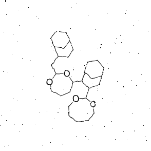 C1CCOC(C2CC3CCCC(C3)C2C2CCCOC(CC3CCC4CCCC3C4)O2)OCC1